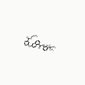 CCOC(=O)c1cc(Oc2ccc3c(C(=O)Nc4cccc(C(C)(C)C)c4)cccc3c2)ncn1